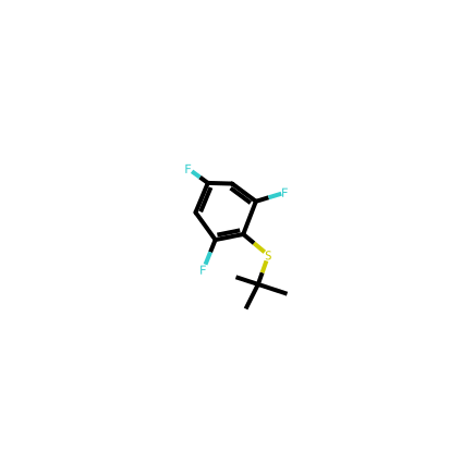 CC(C)(C)Sc1c(F)cc(F)cc1F